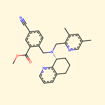 COC(=O)c1cc(C#N)ccc1CN(Cc1ncc(C)cc1C)[C@@H]1CCCc2cccnc21